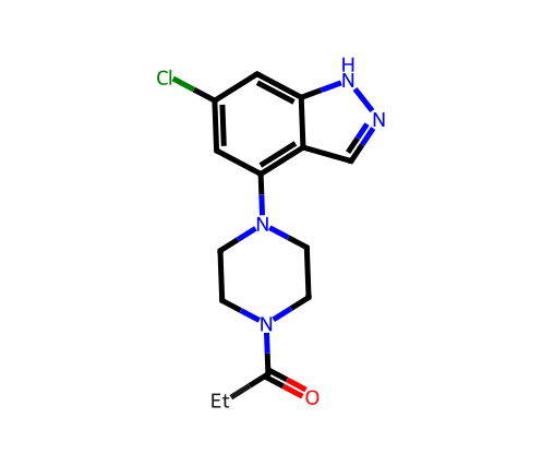 CCC(=O)N1CCN(c2cc(Cl)cc3[nH]ncc23)CC1